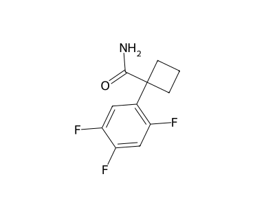 NC(=O)C1(c2cc(F)c(F)cc2F)CCC1